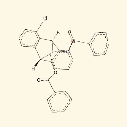 O=C(OC1C(OC(=O)c2ccccc2)[C@H]2c3c(Cl)cccc3[C@H]1c1cccc(Cl)c12)c1ccccc1